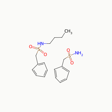 CCCCNS(=O)(=O)Cc1ccccc1.NS(=O)(=O)Cc1ccccc1